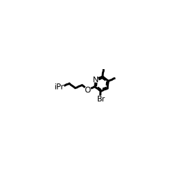 Cc1cc(Br)c(OCCCC(C)C)nc1C